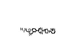 CN(Cc1cccc(-c2cnc(N3CCN(c4cccnn4)CC3)nc2)c1)C(=O)CN